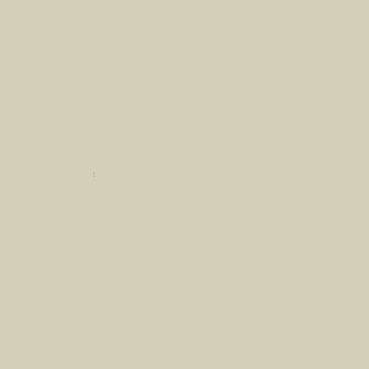 C=C(C)C(=O)OCCC(=Cc1cccc(F)c1)C(=O)O